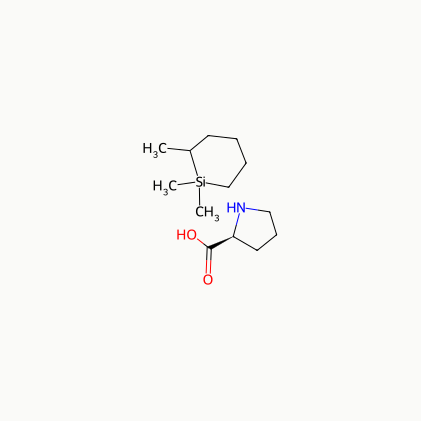 CC1CCCC[Si]1(C)C.O=C(O)[C@@H]1CCCN1